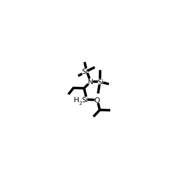 CCC([SiH2]OC(C)C)N([Si](C)(C)C)[Si](C)(C)C